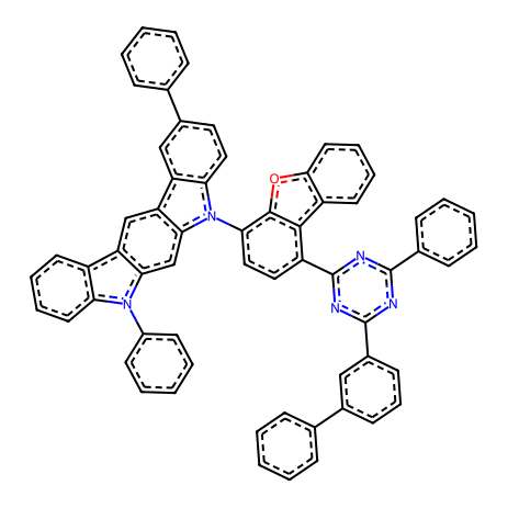 c1ccc(-c2cccc(-c3nc(-c4ccccc4)nc(-c4ccc(-n5c6ccc(-c7ccccc7)cc6c6cc7c8ccccc8n(-c8ccccc8)c7cc65)c5oc6ccccc6c45)n3)c2)cc1